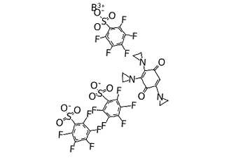 O=C1C=C(N2CC2)C(=O)C(N2CC2)=C1N1CC1.O=S(=O)([O-])c1c(F)c(F)c(F)c(F)c1F.O=S(=O)([O-])c1c(F)c(F)c(F)c(F)c1F.O=S(=O)([O-])c1c(F)c(F)c(F)c(F)c1F.[B+3]